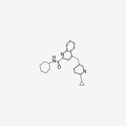 O=C(NC1CCCCC1)c1cc(Cc2ccc(C3CC3)nc2)c2ccccc2n1